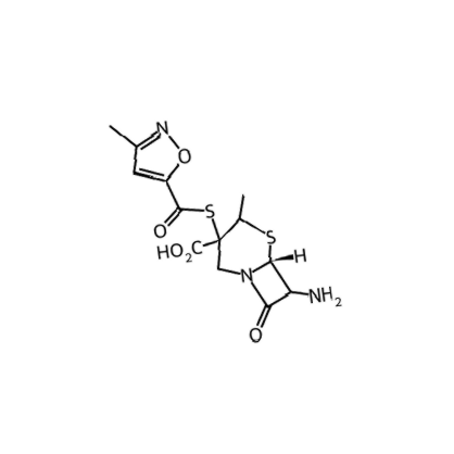 Cc1cc(C(=O)SC2(C(=O)O)CN3C(=O)C(N)[C@H]3SC2C)on1